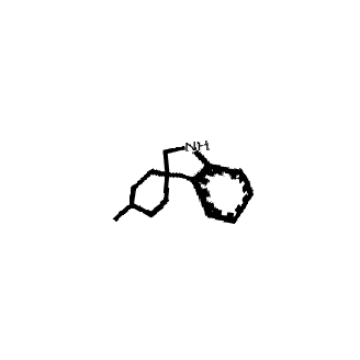 CC1CCC2(CC1)CNc1ccccc12